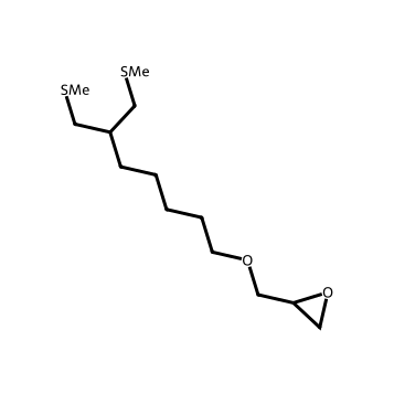 CSCC(CCCCCOCC1CO1)CSC